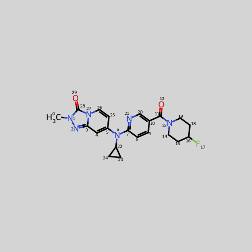 Cn1nc2cc(N(c3ccc(C(=O)N4CCC(F)CC4)cn3)C3CC3)ccn2c1=O